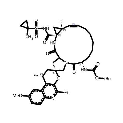 CCc1nc2ccc(OC)cc2c2c1O[C@@]1(CC3C(=O)N[C@]4(C(=O)NS(=O)(=O)C5(C)CC5)C[C@H]4/C=C\CCCCC[C@H](NC(=O)OC(C)(C)C)C(=O)N3C1)C[C@H]2F